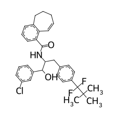 CC(C)(C)C(F)(F)c1ccc(CC(NC(=O)c2cccc3c2C=CCCC3)C(O)c2cccc(Cl)c2)cc1